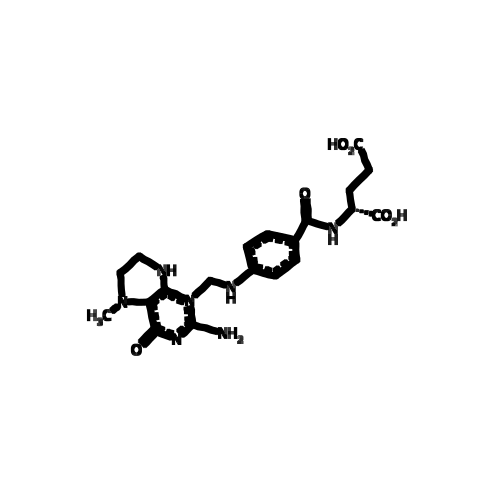 CN1CCNc2c1c(=O)nc(N)n2CNc1ccc(C(=O)N[C@H](CCC(=O)O)C(=O)O)cc1